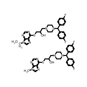 Cn1cnc2c(SCC(O)CN3CCN(C(c4ccc(F)cc4)c4ccc(F)cc4)CC3)ncnc21.Cn1cnc2c(SCC(O)CN3CCN(C(c4ccc(F)cc4)c4ccc(F)cc4)CC3)ncnc21.O